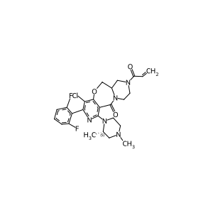 C=CC(=O)N1CCN2C(=O)c3c(N4CCN(C)C[C@@H]4C)nc(-c4c(F)cccc4F)c(Cl)c3OCC2C1